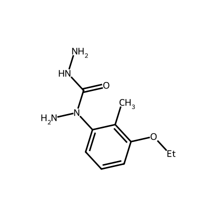 CCOc1cccc(N(N)C(=O)NN)c1C